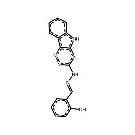 Oc1ccccc1/C=N/Nc1nnc2c(n1)[nH]c1ccccc12